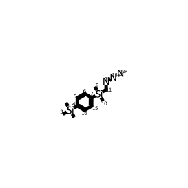 C[Si](C)(C)c1ccc([Si](C)(C)CN=[N+]=[N-])cc1